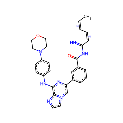 C/C=C\C=C/C(=N)NC(=O)c1cccc(-c2cn3ccnc3c(Nc3ccc(N4CCOCC4)cc3)n2)c1